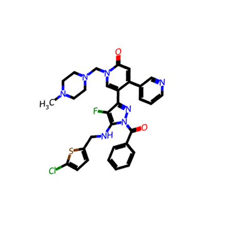 CN1CCN(Cn2cc(-c3nn(C(=O)c4ccccc4)c(NCc4ccc(Cl)s4)c3F)c(-c3cccnc3)cc2=O)CC1